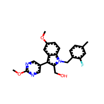 COc1ccc2c(c1)c(-c1cnc(OC)nc1)c(CO)n2Cc1ccc(C)cc1F